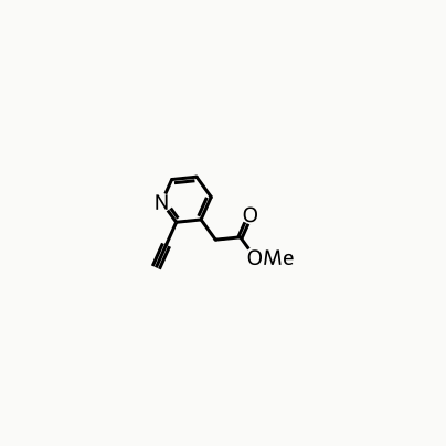 C#Cc1ncccc1CC(=O)OC